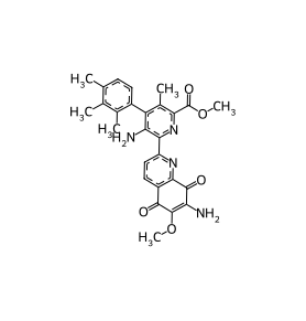 COC(=O)c1nc(-c2ccc3c(n2)C(=O)C(N)=C(OC)C3=O)c(N)c(-c2ccc(C)c(C)c2C)c1C